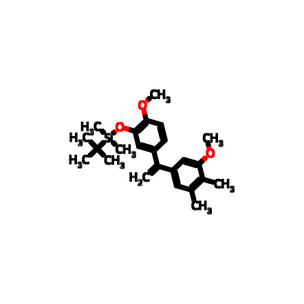 C=C(c1ccc(OC)c(O[Si](C)(C)C(C)(C)C)c1)c1cc(C)c(C)c(OC)c1